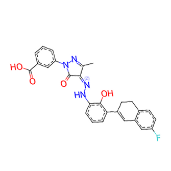 CC1=NN(c2cccc(C(=O)O)c2)C(=O)/C1=N\Nc1cccc(C2=Cc3cc(F)ccc3CC2)c1O